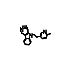 Cc1ccc(CCn2c3c(c4ccccc42)CN2CCC3C2)cn1